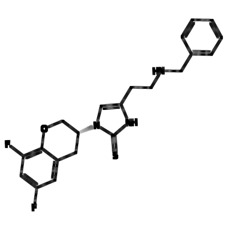 Fc1cc(F)c2c(c1)C[C@@H](n1cc(CCNCc3ccccc3)[nH]c1=S)CO2